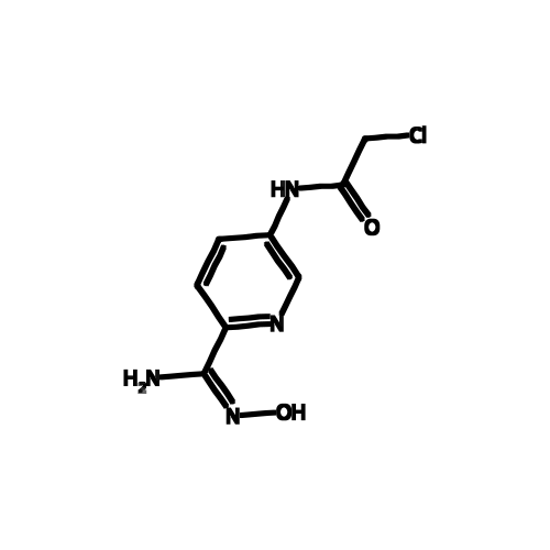 N/C(=N/O)c1ccc(NC(=O)CCl)cn1